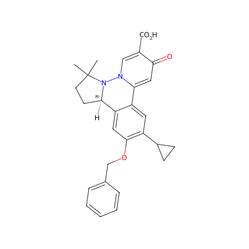 CC1(C)CC[C@@H]2c3cc(OCc4ccccc4)c(C4CC4)cc3-c3cc(=O)c(C(=O)O)cn3N21